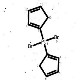 [Br][Pt]([Br])([C]1=CC=CC1)[C]1=CC=CC1